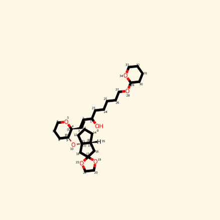 OC(C=C[C@@H]1OCCC[C@H]1O[C@]12CCC[C@@H]1CC1(C2)OCCO1)CCCCCOC1CCCCO1